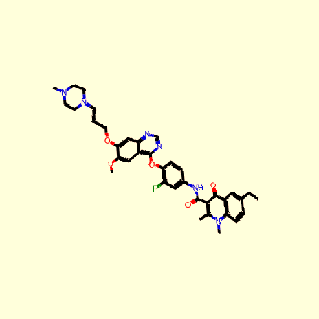 CCc1ccc2c(c1)c(=O)c(C(=O)Nc1ccc(Oc3ncnc4cc(OCCCN5CCN(C)CC5)c(OC)cc34)c(F)c1)c(C)n2C